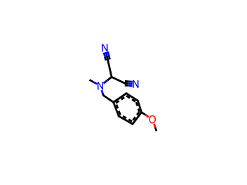 COc1ccc(CN(C)C(C#N)C#N)cc1